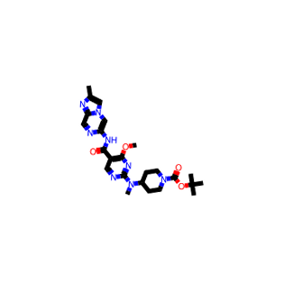 COc1nc(N(C)C2CCN(C(=O)OC(C)(C)C)CC2)ncc1C(=O)Nc1cn2cc(C)nc2cn1